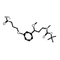 COC(CCN(C)C(=O)OC(C)(C)C)c1cccc(OCCCC(N)=O)c1